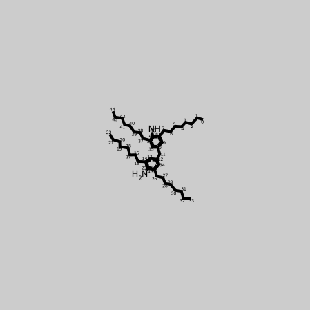 CCCCCCCCc1cc(Cc2cc(CCCCCCCC)c(N)c(CCCCCCCC)c2)cc(CCCCCCCC)c1N